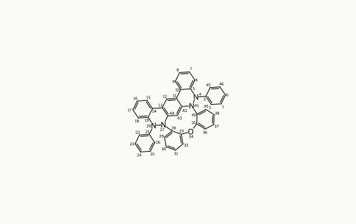 c1ccc(-n2c3ccccc3c3cc4c5ccccc5n(-c5ccccc5)n5c6ccccc6oc6ccccc6n2c3cc45)cc1